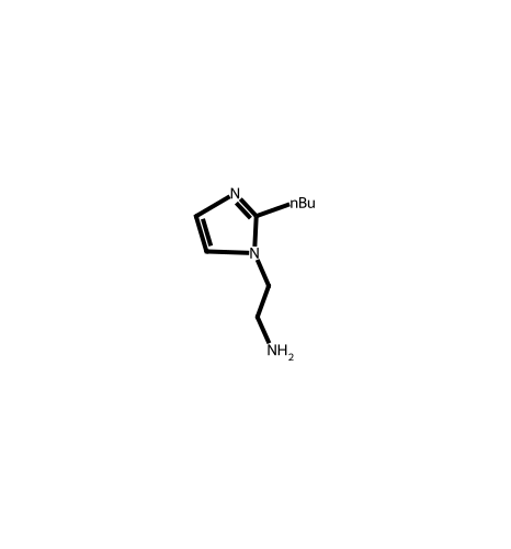 CCCCc1nccn1CCN